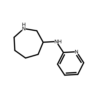 c1ccc(NC2CCCCNC2)nc1